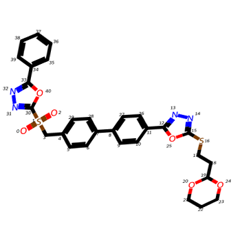 O=S(=O)(Cc1ccc(-c2ccc(-c3nnc(SCCC4OCCCO4)o3)cc2)cc1)c1nnc(-c2ccccc2)o1